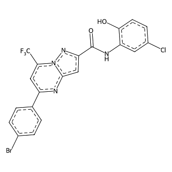 O=C(Nc1cc(Cl)ccc1O)c1cc2nc(-c3ccc(Br)cc3)cc(C(F)(F)F)n2n1